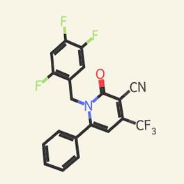 N#Cc1c(C(F)(F)F)cc(-c2ccccc2)n(Cc2cc(F)c(F)cc2F)c1=O